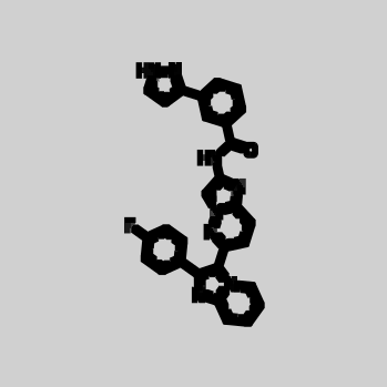 O=C(Nc1cn2nc(-c3c(-c4ccc(F)cc4)nc4ccccn34)ccc2n1)c1cccc(-c2cc[nH]n2)c1